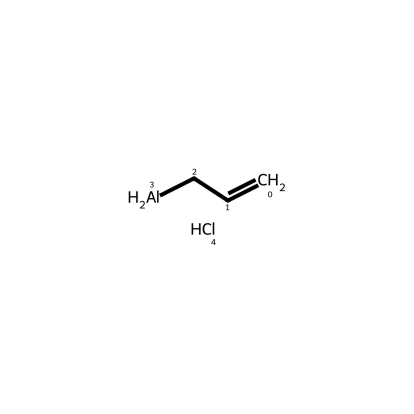 C=C[CH2][AlH2].Cl